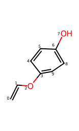 C=COc1ccc(O)cc1